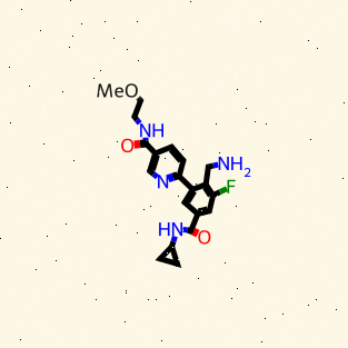 COCCNC(=O)c1ccc(-c2cc(C(=O)NC3CC3)cc(F)c2CN)nc1